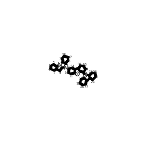 c1ccc2c(c1)cc1n(-c3ccc4oc5c(-n6c7ccccc7c7ccccc76)cccc5c4c3)c3ccccc3n21